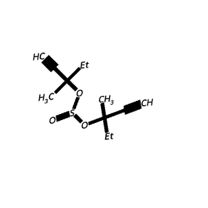 C#CC(C)(CC)OS(=O)OC(C)(C#C)CC